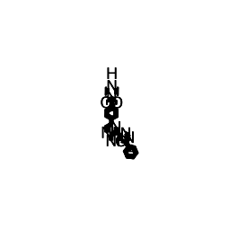 Nc1ncc(-c2ccc(S(=O)(=O)N3CCNCC3)cc2)nc1-c1nnc(-c2ccccc2)o1